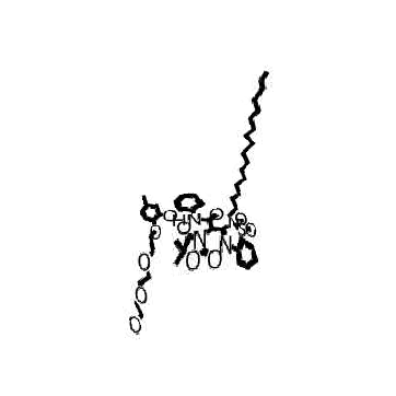 CCCCCCCCCCCCCCCCCCN1C(C(C(=O)Nc2ccccc2Oc2cc(C)ccc2OCCOCCOCCOC)N2C(=O)OC(C)(C)C2=O)=Nc2ccccc2S1(=O)=O